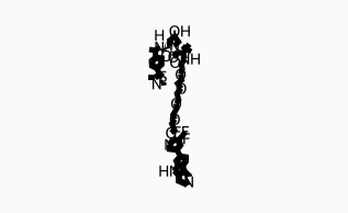 Cc1ncsc1-c1ccc(C(C)NC(=O)[C@@H]2C[C@@H](O)CN2C(=O)C(NC(=O)COCCOCCOCCOCCOc2ncc(-c3ccc4c(c3)[nH]c3ccncc34)cc2C(F)(F)F)C(C)(C)C)cc1